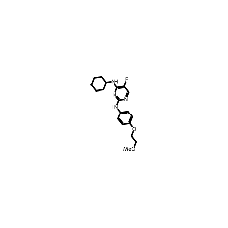 COCCOc1ccc(Nc2ncc(F)c(NC3C[CH]CCC3)n2)cc1